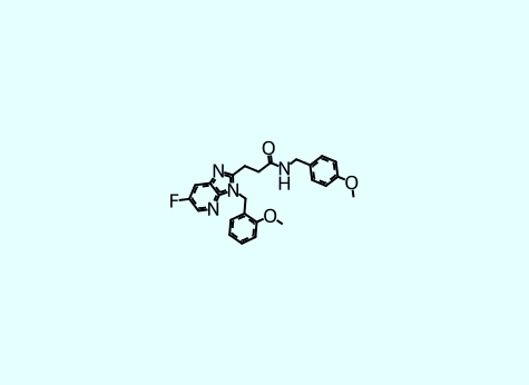 COc1ccc(CNC(=O)CCc2nc3cc(F)cnc3n2Cc2ccccc2OC)cc1